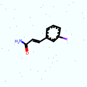 NC(=O)/C=C/c1cccc(I)c1